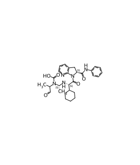 CC(C=O)N(C(=O)O)[C@@H](C)N[C@H](C(=O)N1c2ncccc2C[C@H]1C(=O)Nc1ccccc1)C1CCCCC1